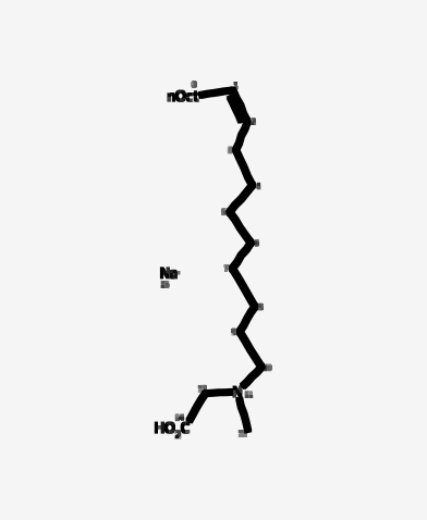 CCCCCCCC/C=C\CCCCCCCCN(C)CC(=O)O.[Na]